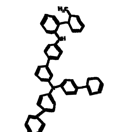 CC1C=CC=CC1c1ccccc1Nc1ccc(-c2cccc(N(c3ccc(-c4ccccc4)cc3)c3ccc(-c4ccccc4)cc3)c2)cc1